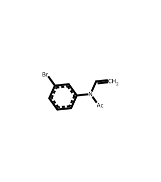 C=CN(C(C)=O)c1cccc(Br)c1